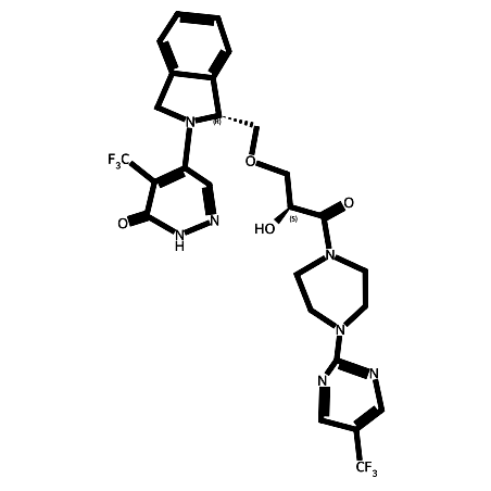 O=C([C@@H](O)COC[C@H]1c2ccccc2CN1c1cn[nH]c(=O)c1C(F)(F)F)N1CCN(c2ncc(C(F)(F)F)cn2)CC1